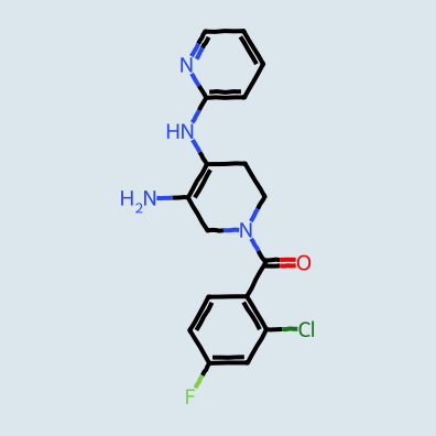 NC1=C(Nc2ccccn2)CCN(C(=O)c2ccc(F)cc2Cl)C1